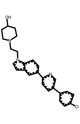 OC1CCN(CCn2ccc3cc(-c4ccc(-c5ccc(Cl)cc5)cn4)ccc32)CC1